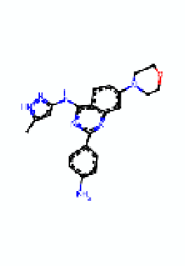 Cc1cc(Nc2nc(-c3ccc(N)cc3)nc3cc(N4CCOCC4)ccc23)n[nH]1